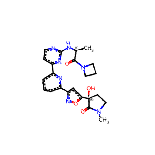 C[C@H](Nc1nccc(-c2cccc(-c3cc([C@]4(O)CCN(C)C4=O)on3)n2)n1)C(=O)N1CCC1